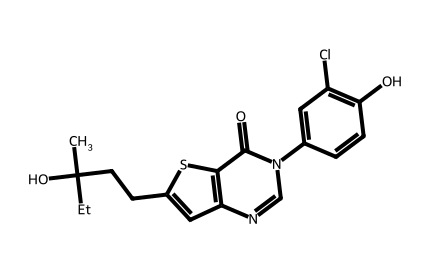 CCC(C)(O)CCc1cc2ncn(-c3ccc(O)c(Cl)c3)c(=O)c2s1